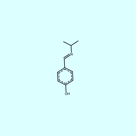 CC(C)N=Cc1ccc(O)cc1